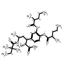 CCCC(C)C(=O)Oc1ccc(C(CC(C)OC(=O)C(C)(C)CC)[C@H](N)C(=O)O)cc1OC(=O)C(C)CCC